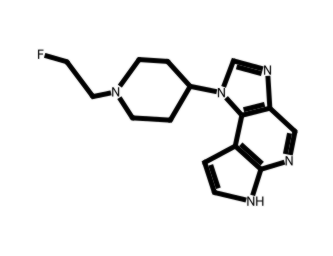 FCCN1CCC(n2cnc3cnc4[nH]ccc4c32)CC1